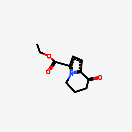 CCOC(=O)c1ccc2n1CCCC2=O